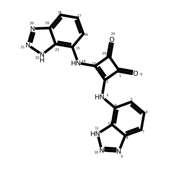 O=c1c(Nc2cccc3nn[nH]c23)c(Nc2cccc3nn[nH]c23)c1=O